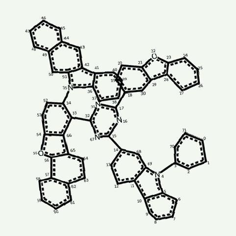 c1ccc(-n2c3ccccc3c3ccc(-c4nc(-c5ccc6oc7ccccc7c6c5)nc(-c5c(-n6c7ccccc7c7cc8ccccc8cc76)ccc6oc7c8ccccc8ccc7c56)n4)cc32)cc1